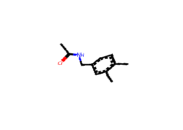 CC(=O)NCc1ccc(C)c(C)c1